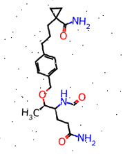 C[C@@H](OCc1ccc(CCCC2(C(N)=O)CC2)cc1)[C@H](CCC(N)=O)NC=O